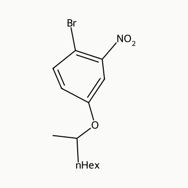 CCCCCCC(C)Oc1ccc(Br)c([N+](=O)[O-])c1